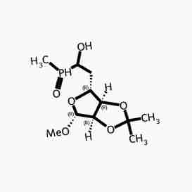 CO[C@@H]1O[C@H](CC(O)[PH](C)=O)[C@H]2OC(C)(C)O[C@@H]12